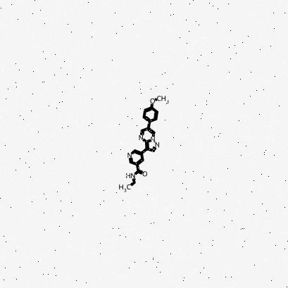 CCNC(=O)c1cncc(-c2cnn3cc(-c4ccc(OC)cc4)cnc23)c1